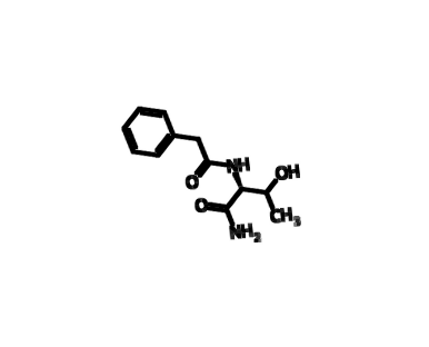 CC(O)[C@H](NC(=O)Cc1ccccc1)C(N)=O